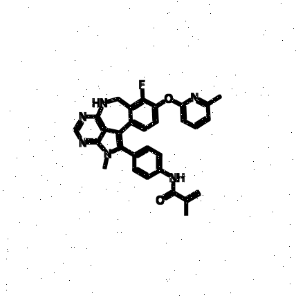 C=C(C)C(=O)Nc1ccc(-c2c3c4c(ncnc4n2C)NCc2c-3ccc(Oc3cccc(C)n3)c2F)cc1